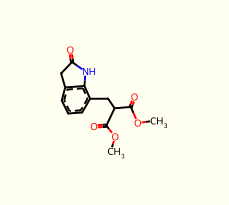 COC(=O)C(Cc1cccc2c1NC(=O)C2)C(=O)OC